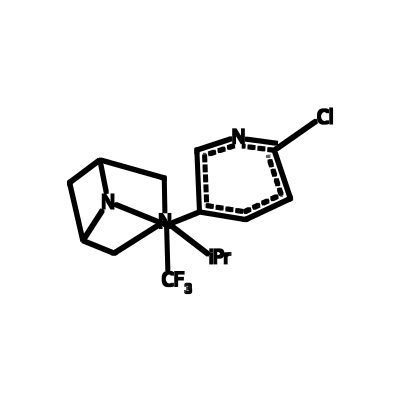 CC(C)N1CC2CC(C1)N2C(c1ccc(Cl)nc1)C(F)(F)F